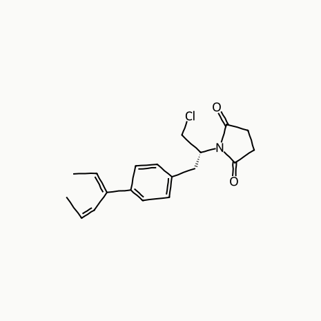 C/C=C\C(=C/C)c1ccc(C[C@H](CCl)N2C(=O)CCC2=O)cc1